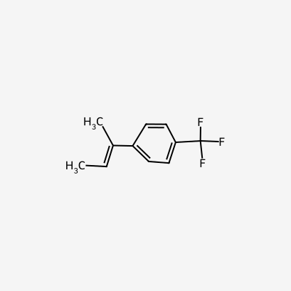 CC=C(C)c1ccc(C(F)(F)F)cc1